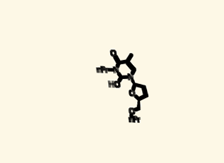 CCCOC[C@@H]1C=C[C@H](N2C=C(C)C(=O)N(CCC)C2O)O1